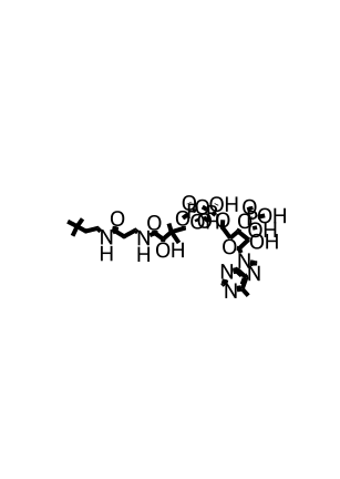 Cc1ncnc2c1ncn2C1OC(COP(=O)(O)OP(=O)(O)OCC(C)(C)C(O)C(=O)NCCC(=O)NCCC(C)(C)C)C(OP(=O)(O)O)C1O